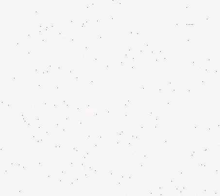 CC1C=CCC(C)C1C=O